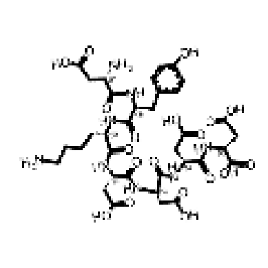 NCCCC[C@H](NC(=O)[C@H](Cc1ccc(O)cc1)NC(=O)[C@@H](N)CC(=O)O)C(=O)N[C@@H](CC(=O)O)C(=O)N[C@@H](CC(=O)O)C(=O)N[C@@H](CC(=O)O)C(=O)N[C@@H](CC(=O)O)C(=O)O